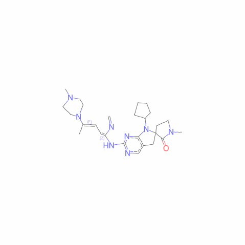 C=N/C(=C\C=C(/C)N1CCN(C)CC1)Nc1ncc2c(n1)N(C1CCCC1)C1(CCN(C)C1=O)C2